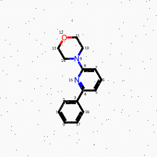 c1ccc(-c2cccc(N3CCOCC3)n2)cc1